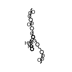 C=CC(=O)OCOC1CCC(CCC2CCC(COc3ccc(OCC4CCC(C(=O)OC5CCC(OCOC(=O)C=C)CC5)CC4)cc3/C=N/Nc3nc4ccccc4s3)CC2)CC1